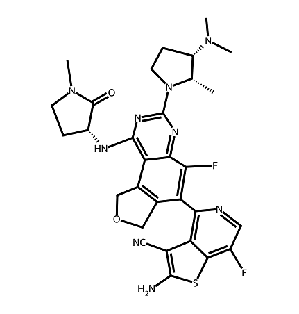 C[C@H]1[C@@H](N(C)C)CCN1c1nc(N[C@@H]2CCN(C)C2=O)c2c3c(c(-c4ncc(F)c5sc(N)c(C#N)c45)c(F)c2n1)COC3